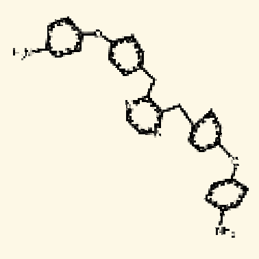 Nc1ccc(Oc2ccc(Cc3nccnc3Cc3ccc(Oc4ccc(N)cc4)cc3)cc2)cc1